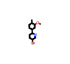 COc1cc(-c2ccc(Br)cn2)ccc1C